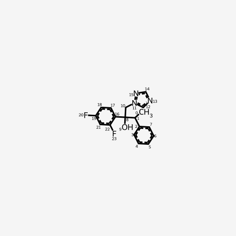 CC(c1ccccc1)C(O)(Cn1cncn1)c1ccc(F)cc1F